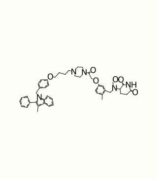 Cc1ccc(OCC(=O)N2CCN(CCCCOc3ccc(Cn4c(-c5ccccc5)c(C)c5ccccc54)cc3)CC2)cc1CN(C=O)C1CCC(=O)NC1=O